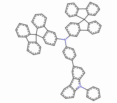 c1ccc(-n2c3ccccc3c3cc(-c4ccc(N(c5ccc6c(c5)-c5ccccc5C65c6ccccc6-c6ccccc65)c5ccc6c(c5)-c5ccccc5C65c6ccccc6-c6ccccc65)cc4)ccc32)cc1